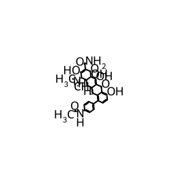 CC(=O)Nc1ccc(-c2ccc(O)c3c2C[C@@H]2C[C@@H]4[C@@H](N(C)C)C(O)=C(C(N)=O)C(=O)[C@]4(O)C(O)=C2C3=O)cc1